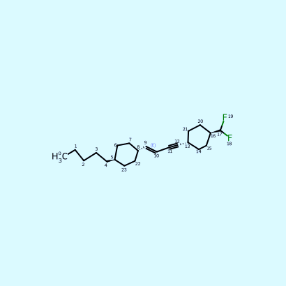 CCCCC[C@H]1CC[C@H](/C=C/C#C[C@H]2CC[C@H](C(F)F)CC2)CC1